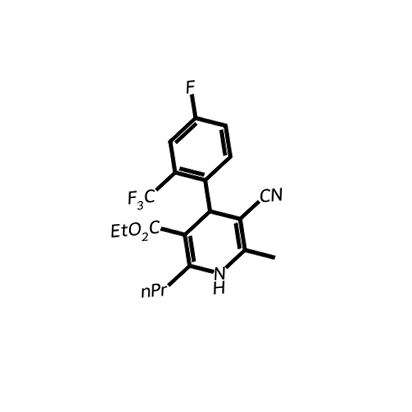 CCCC1=C(C(=O)OCC)C(c2ccc(F)cc2C(F)(F)F)C(C#N)=C(C)N1